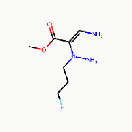 COC(=O)/C(=C/N)N(N)CCCF